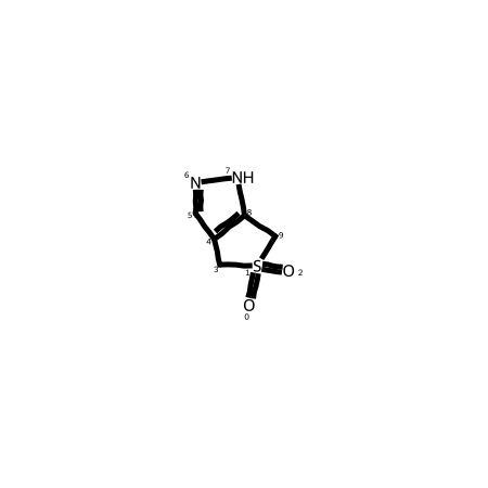 O=S1(=O)Cc2[c]n[nH]c2C1